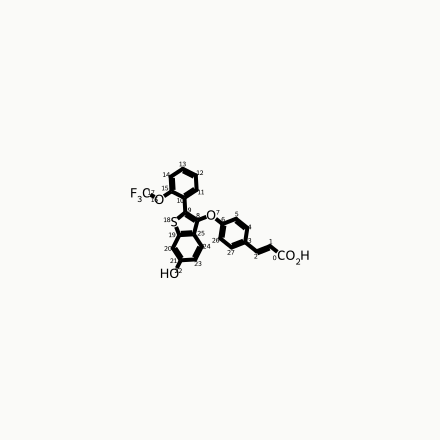 O=C(O)C=Cc1ccc(Oc2c(-c3ccccc3OC(F)(F)F)sc3cc(O)ccc23)cc1